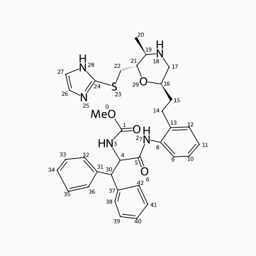 COC(=O)NC(C(=O)Nc1ccccc1CC[C@@H]1CN[C@H](C)[C@@H](CSc2ncc[nH]2)O1)C(c1ccccc1)c1ccccc1